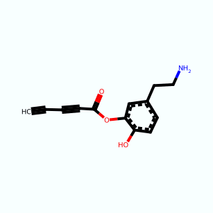 C#CC#CC(=O)Oc1cc(CCN)ccc1O